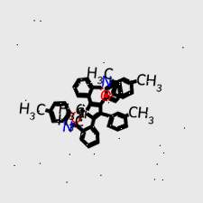 Cc1cccc(C2=C(c3ccccc3-c3nc4cc(C)ccc4o3)[Si](C)(C)C(c3ccccc3-c3nc4cc(C)ccc4o3)=C2c2cccc(C)c2)c1